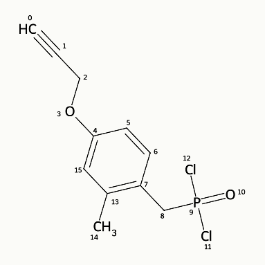 C#CCOc1ccc(CP(=O)(Cl)Cl)c(C)c1